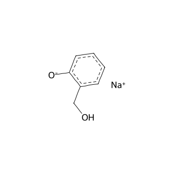 [Na+].[O-]c1ccccc1CO